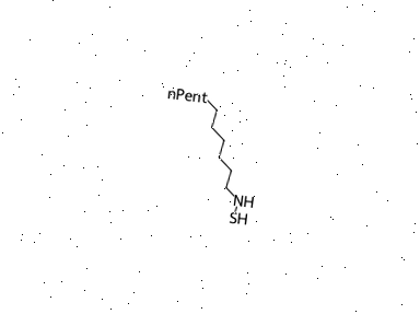 CCCCCCCCCCCNS